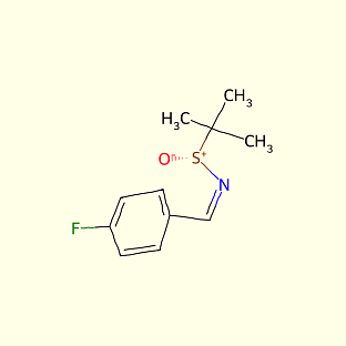 CC(C)(C)[S@@+]([O-])/N=C\c1ccc(F)cc1